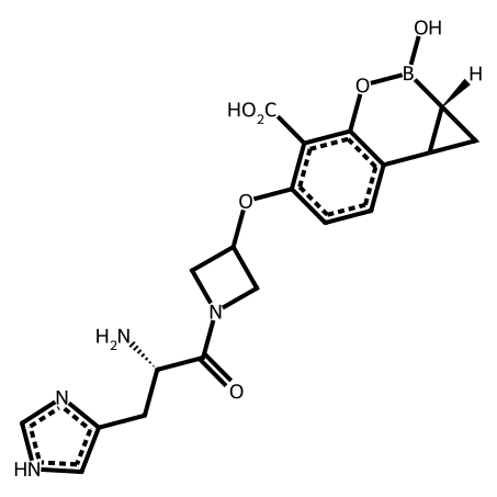 N[C@@H](Cc1c[nH]cn1)C(=O)N1CC(Oc2ccc3c(c2C(=O)O)OB(O)[C@@H]2CC32)C1